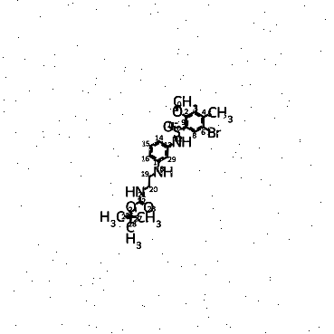 COc1cc(C)c(Br)cc1[S+]([O-])Nc1cccc(NCCNC(=O)OC(C)(C)C)c1